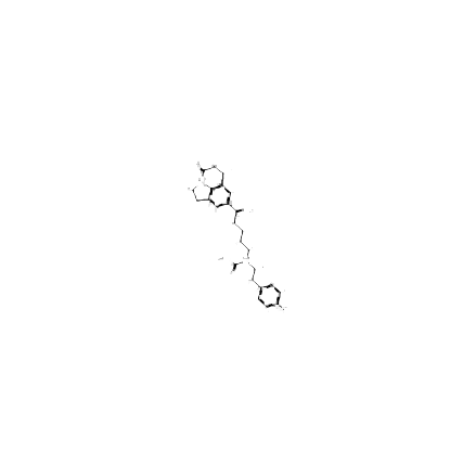 CC(C)(C)OC(=O)N(CCCCC(=O)c1cc2c3c(c1)CCN3C(=O)CC2)CCc1ccc(Cl)cc1